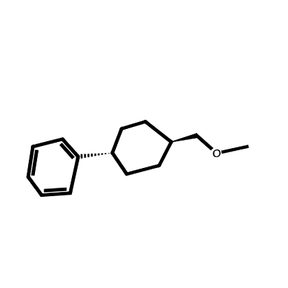 COC[C@H]1CC[C@H](c2ccccc2)CC1